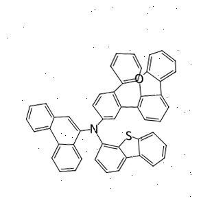 c1ccc(-c2ccc(N(c3cc4ccccc4c4ccccc34)c3cccc4c3sc3ccccc34)cc2-c2cccc3c2oc2ccccc23)cc1